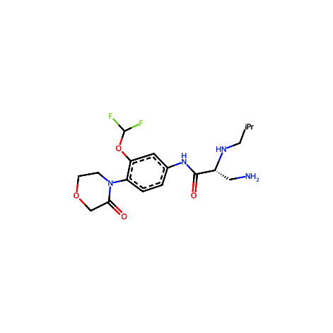 CC(C)CN[C@H](CN)C(=O)Nc1ccc(N2CCOCC2=O)c(OC(F)F)c1